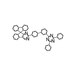 c1ccc(-c2nc(-c3ccccc3)nc(-c3cccc(-c4ccc(-c5ncc6c(n5)C5(c7ccccc7-c7ccccc75)c5ccccc5-6)cc4)c3)n2)cc1